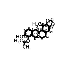 CC(C)Oc1c(O)ccc2c1CN1CCC3=C(C(C)C4OCOC4=C3)C1C2